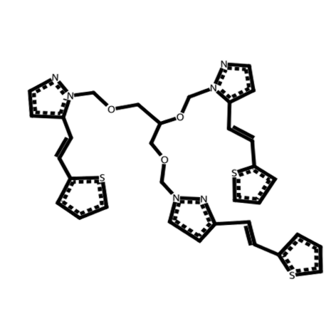 C(=C\c1cccs1)/c1ccn(COCC(COCn2nccc2/C=C/c2cccs2)OCn2nccc2/C=C/c2cccs2)n1